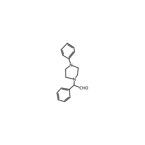 O=CC(c1ccccc1)N1CCN(c2ccccc2)CC1